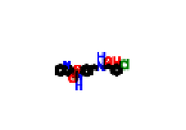 O=S(=O)(Nc1ccc(CCNCC(O)c2cccc(Cl)c2)cc1)c1cnc2ccccc2c1